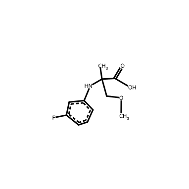 COCC(C)(Nc1cccc(F)c1)C(=O)O